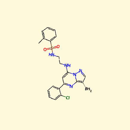 Bc1cnn2c(NCCNS(=O)(=O)c3ccccc3C)cc(-c3ccccc3Cl)nc12